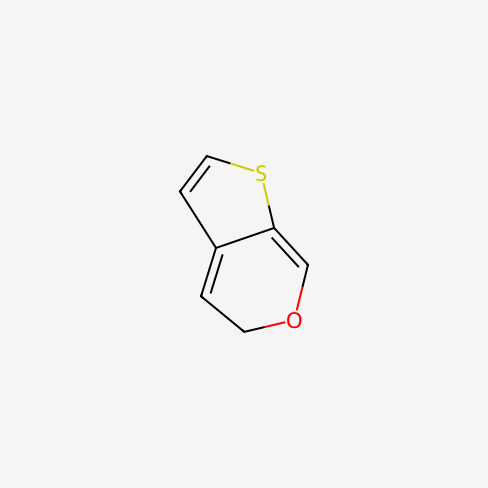 C1=c2ccsc2=COC1